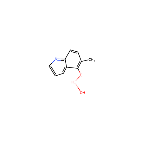 Cc1ccc2ncccc2c1OBO